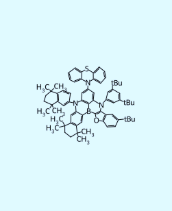 CC(C)(C)c1cc(N2c3cc(N4c5ccccc5Sc5ccccc54)cc4c3B(c3cc5c(cc3N4c3ccc4c(c3)C(C)(C)CCC4(C)C)C(C)(C)CCC5(C)C)c3oc4ccc(C(C)(C)C)cc4c32)cc(C(C)(C)C)c1